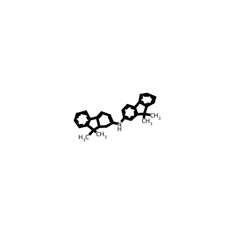 CC1(C)c2ccccc2-c2ccc(NC3=CC=C4c5ccccc5C(C)(C)C4C3)cc21